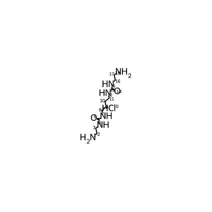 Cl.NCCNC(=O)NCCCCNC(=O)NCCN